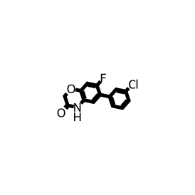 O=C1COc2cc(F)c(-c3cccc(Cl)c3)cc2N1